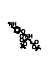 CNCc1ccc(OC(=O)NC(CCC(=O)OC(C)(C)C)C(=O)OC(C)(C)C)cc1